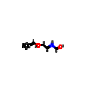 C=COCC=NC=O